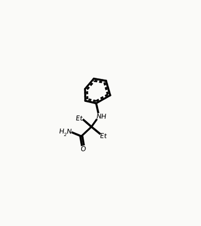 CCC(CC)(Nc1ccccc1)C(N)=O